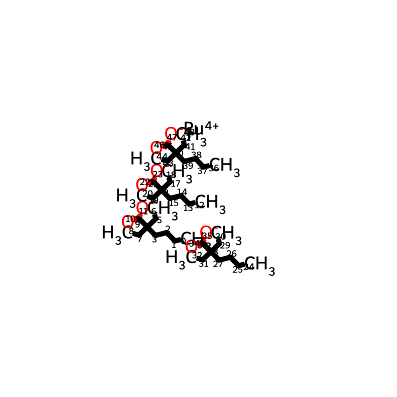 CCCCC(CC)(CC)C(=O)[O-].CCCCC(CC)(CC)C(=O)[O-].CCCCC(CC)(CC)C(=O)[O-].CCCCC(CC)(CC)C(=O)[O-].[Ru+4]